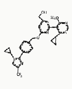 COc1ncnc(C2CC2)c1-c1nc(CO)cc(OCc2ccc(-c3nc(C(F)(F)F)cn3C3CC3)cc2)n1